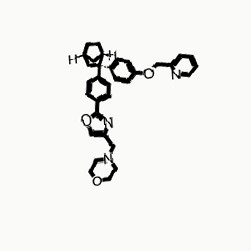 c1ccc(COc2ccc([C@]3(c4ccc(-c5nc(CN6CCOCC6)co5)cc4)C[C@@H]4CC[C@H]3C4)cc2)nc1